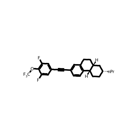 CCC[C@@H]1CC[C@@H]2c3ccc(C#Cc4cc(F)c(OC(F)(F)F)c(F)c4)cc3CC[C@@H]2C1